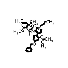 CCCCn1ccc(-c2ccc(OCc3ccccc3)cc2OC(C)C)c(NC(=O)Nc2c(SC)cc(C)nc2SC)c1=O